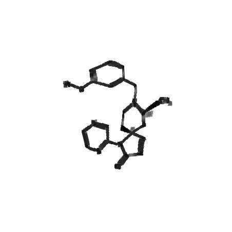 CC(C)Oc1cccc(CN2CC[C@]3(C=CC(=O)N3c3cnccn3)C[C@@H]2C)c1